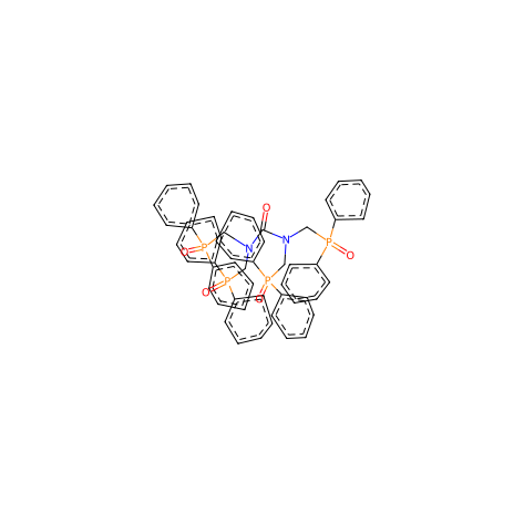 O=C(N(CP(=O)(c1ccccc1)c1ccccc1)CP(=O)(c1ccccc1)c1ccccc1)N(CP(=O)(c1ccccc1)c1ccccc1)CP(=O)(c1ccccc1)c1ccccc1